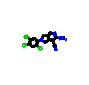 N#Cc1c(N)ncc2c1CN(c1cc(Cl)c(Cl)cc1Cl)C2